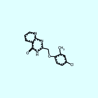 Cc1cc(Cl)ccc1OCc1nc2ncccc2c(=O)[nH]1